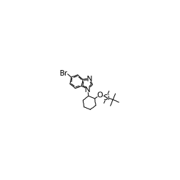 CC(C)(C)[Si](C)(C)OC1CCCCC1n1cnc2cc(Br)ccc21